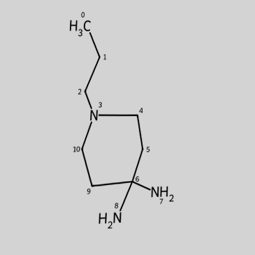 CCCN1CCC(N)(N)CC1